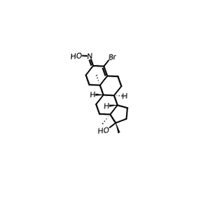 C[C@]12CC/C(=N\O)C(Br)=C1CC[C@@H]1[C@@H]2CC[C@@]2(C)[C@H]1CC[C@]2(C)O